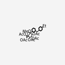 CCc1ccc(Cc2cccc(C3(OC)OC4(C(OC(C)=O)C4OC(C)=O)[C@@H](OC(C)=O)[C@H](OC(C)=O)[C@H]3OC(C)=O)c2)cc1